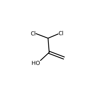 C=C(O)C(Cl)Cl